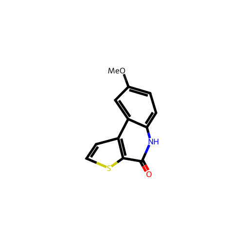 COc1ccc2[nH]c(=O)c3sccc3c2c1